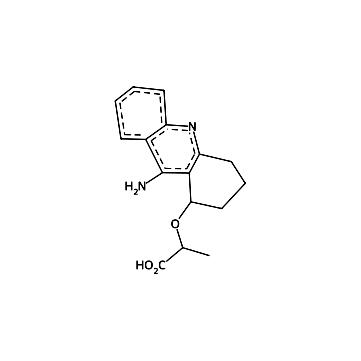 CC(OC1CCCc2nc3ccccc3c(N)c21)C(=O)O